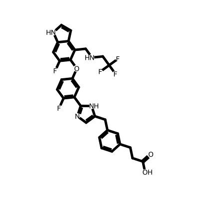 O=C(O)CCc1cccc(Cc2cnc(-c3cc(Oc4c(F)cc5[nH]ccc5c4CNCC(F)(F)F)ccc3F)[nH]2)c1